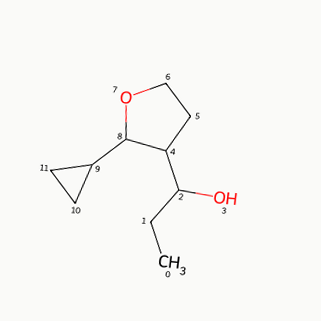 CCC(O)C1CCOC1C1CC1